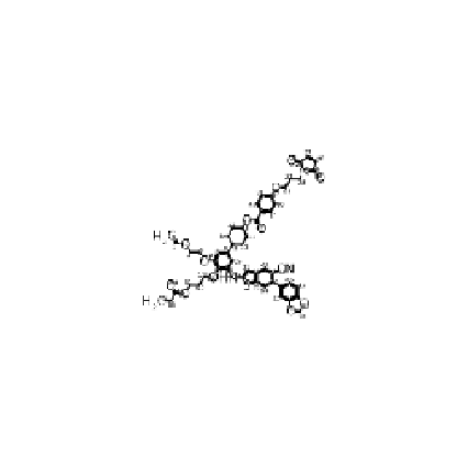 C=COCCOc1cc(C2CCC(OC(=O)c3ccc(OCCCN4C(=O)C=CC4=O)cc3)CC2)cc(Nc2cc3cc(C#N)c(-c4ccc5c(c4)OCO5)cc3s2)c1OCCCOC(=O)C=C